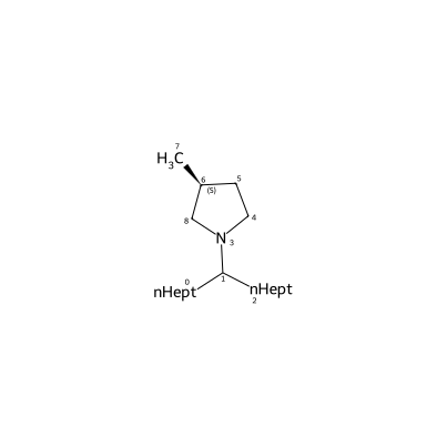 CCCCCCCC(CCCCCCC)N1CC[C@H](C)C1